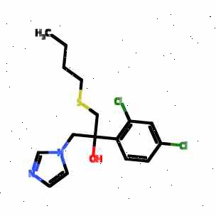 CCCCSCC(O)(Cn1ccnc1)c1ccc(Cl)cc1Cl